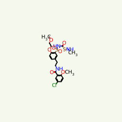 CNSC(=O)NS(=O)(=O)c1cc(CCNC(=O)c2cc(Cl)ccc2OC)ccc1OCCOC